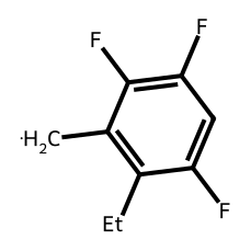 [CH2]c1c(F)c(F)cc(F)c1CC